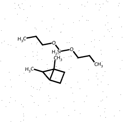 CC1C2CCC12C.CCCO[SiH2]OCCC